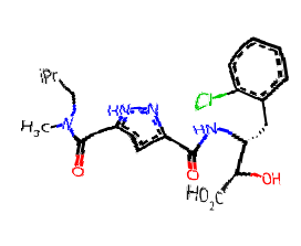 CC(C)CN(C)C(=O)c1cc(C(=O)N[C@H](Cc2ccccc2Cl)[C@@H](O)C(=O)O)n[nH]1